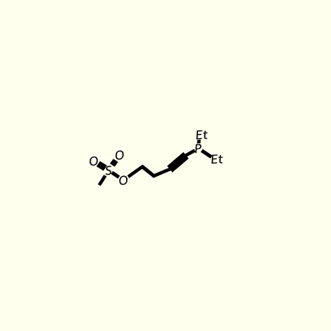 CCP(C#CCCOS(C)(=O)=O)CC